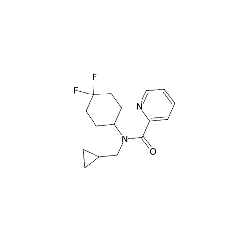 O=C(c1ccccn1)N(CC1CC1)C1CCC(F)(F)CC1